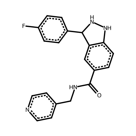 O=C(NCc1ccncc1)c1ccc2c(c1)C(c1ccc(F)cc1)NN2